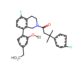 CCOc1cc(CC(=O)O)ccc1-c1ccc(F)c2c1CN(C(=O)CC(C)(C)c1ccc(F)cc1)CC2